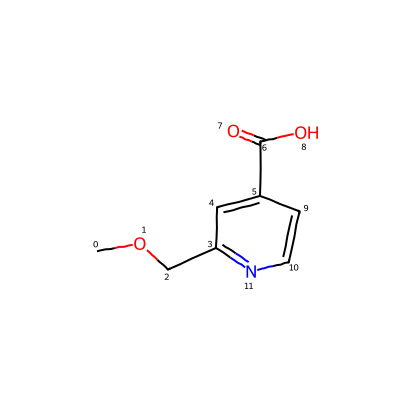 COCc1cc(C(=O)O)ccn1